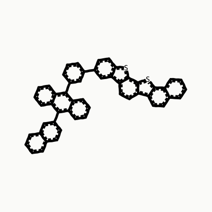 c1cc(-c2ccc3sc4c(ccc5c6ccc7ccccc7c6sc54)c3c2)cc(-c2c3ccccc3c(-c3ccc4ccccc4c3)c3ccccc23)c1